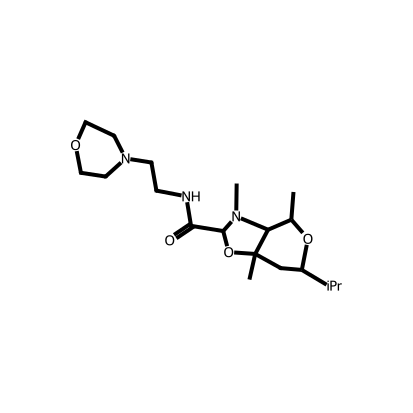 CC(C)C1CC2(C)OC(C(=O)NCCN3CCOCC3)N(C)C2C(C)O1